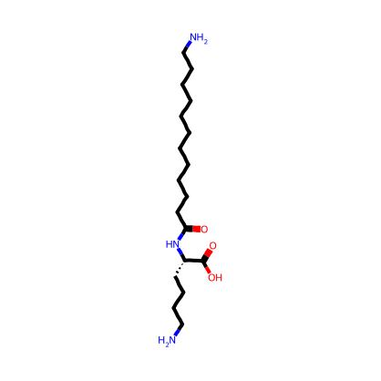 NCCCCCCCCCCCC(=O)N[C@@H](CCCCN)C(=O)O